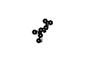 CC1(C)c2ccc(-n3c4ccccc4c4ccccc43)cc2-c2ccc3c(c21)c1ccc(-c2ccccn2)cc1n3-c1ccccc1